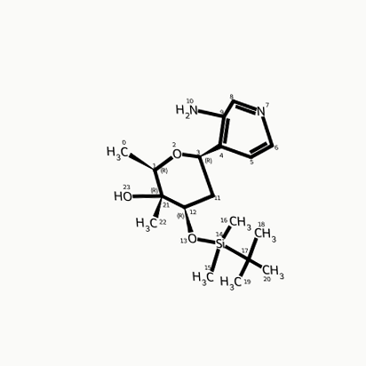 C[C@H]1O[C@@H](c2ccncc2N)C[C@@H](O[Si](C)(C)C(C)(C)C)[C@]1(C)O